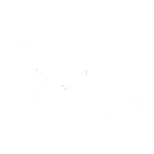 O=C(NCc1ccc(Cl)cc1Cl)N1CCOCC1